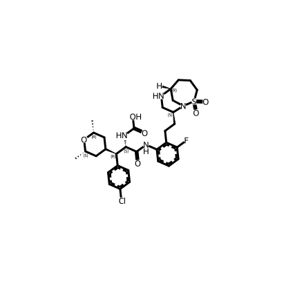 C[C@@H]1CC([C@H](c2ccc(Cl)cc2)[C@H](NC(=O)O)C(=O)Nc2cccc(F)c2CC[C@H]2CN[C@@H]3CCCS(=O)(=O)N2C3)C[C@H](C)O1